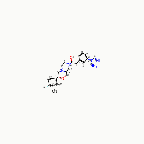 Cc1c(CC(=O)N2CCN3CC(c4ccc(F)c(C#N)c4C)OCC3C2)cccc1N(N)C=N